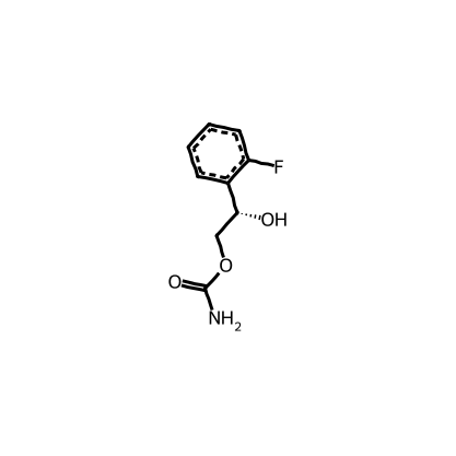 NC(=O)OC[C@@H](O)c1ccccc1F